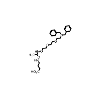 CC(NOCCOCCOCCN(Cc1ccccc1)Cc1ccccc1)ONCCCC(=O)O